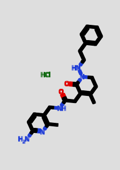 CC1=C(CC(=O)NCc2ccc(N)nc2C)C(=O)N(NCCc2ccccc2)CC1.Cl